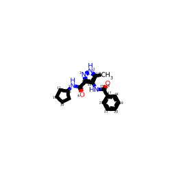 Cc1[nH]nc(C(=O)NC2CCCC2)c1NC(=O)c1ccccc1